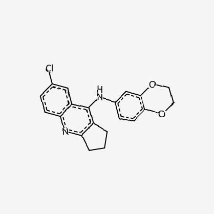 Clc1ccc2nc3c(c(Nc4ccc5c(c4)OCCO5)c2c1)CCC3